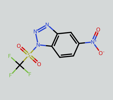 O=[N+]([O-])c1ccc2c(c1)nnn2S(=O)(=O)C(F)(F)F